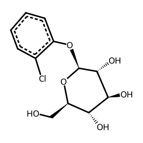 OC[C@H]1O[C@@H](Oc2ccccc2Cl)[C@H](O)[C@@H](O)[C@@H]1O